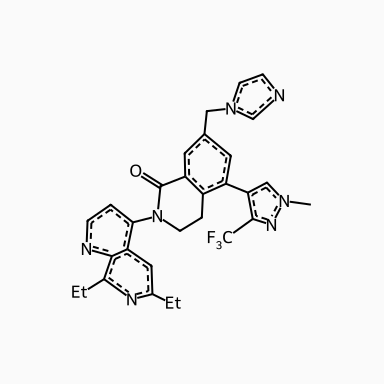 CCc1cc2c(N3CCc4c(cc(Cn5ccnc5)cc4-c4cn(C)nc4C(F)(F)F)C3=O)ccnc2c(CC)n1